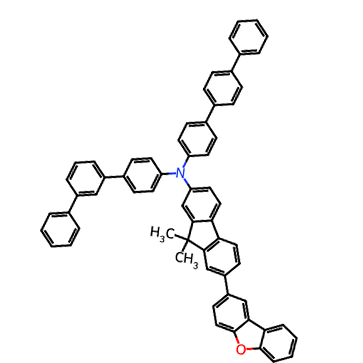 CC1(C)c2cc(-c3ccc4oc5ccccc5c4c3)ccc2-c2ccc(N(c3ccc(-c4ccc(-c5ccccc5)cc4)cc3)c3ccc(-c4cccc(-c5ccccc5)c4)cc3)cc21